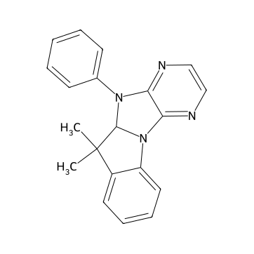 CC1(C)c2ccccc2N2c3nccnc3N(c3ccccc3)C21